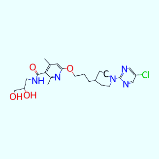 Cc1cc(OCCCC2CCN(c3ncc(Cl)cn3)CC2)nc(C)c1C(=O)NCC(O)CO